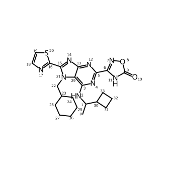 CC(Nc1nc(-c2noc(=O)[nH]2)nc2nc(-c3nccs3)n(CC3CCCCC3)c12)C1CCC1